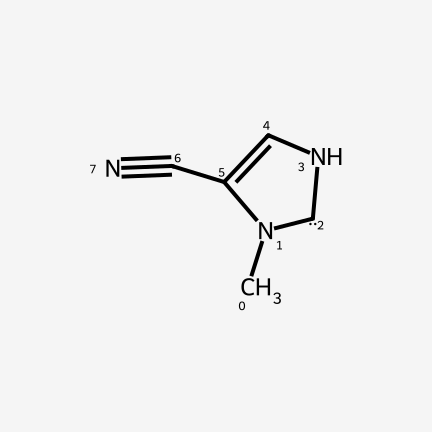 CN1[C]NC=C1C#N